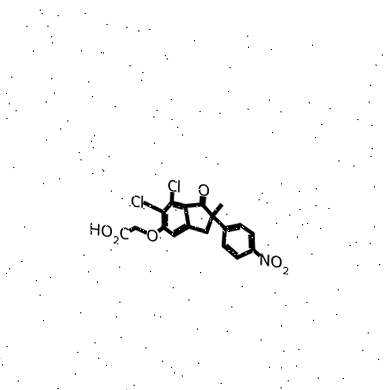 CC1(c2ccc([N+](=O)[O-])cc2)Cc2cc(OCC(=O)O)c(Cl)c(Cl)c2C1=O